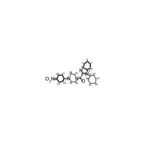 O=C(c1nc2ccccc2n1C1CCCCC1)N1CCN(c2ccc([N+](=O)[O-])cc2)CC1